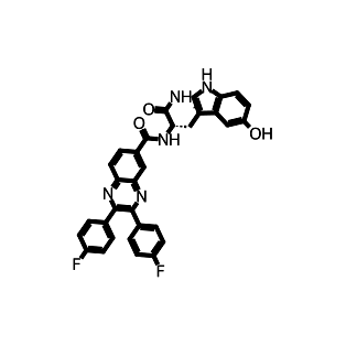 NC(=O)[C@H](Cc1c[nH]c2ccc(O)cc12)NC(=O)c1ccc2nc(-c3ccc(F)cc3)c(-c3ccc(F)cc3)nc2c1